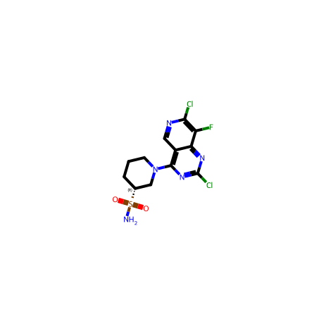 NS(=O)(=O)[C@@H]1CCCN(c2nc(Cl)nc3c(F)c(Cl)ncc23)C1